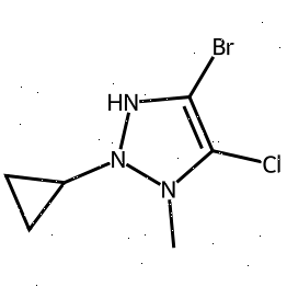 CN1C(Cl)=C(Br)NN1C1CC1